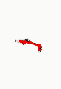 Cc1[nH]nc(Nc2ncnc3cc(OCC4CCN(CCCCCCCCCCc5cccc6c5CN([C@H]5CCC(=O)NC5=O)C6=O)CC4)c(S(=O)(=O)C(C)(C)C)cc23)c1C